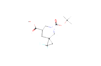 COC(=O)C1CN(C(=O)OC(C)(C)C)CC2(C1)CC2(F)F